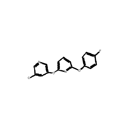 Fc1ccc(Oc2cccc(Oc3cncc(Cl)c3)n2)cc1